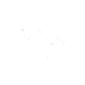 CN(C)C(=O)c1ccc(N2CCC(OC3CCN(C(=O)C(O)(c4cccc(C(F)(F)F)c4)C(F)(F)F)CC3)CC2)cc1Cl